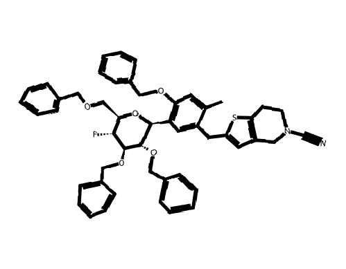 Cc1cc(OCc2ccccc2)c([C@@H]2O[C@H](COCc3ccccc3)[C@@H](F)[C@H](OCc3ccccc3)[C@H]2OCc2ccccc2)cc1Cc1cc2c(s1)CCN(C#N)C2